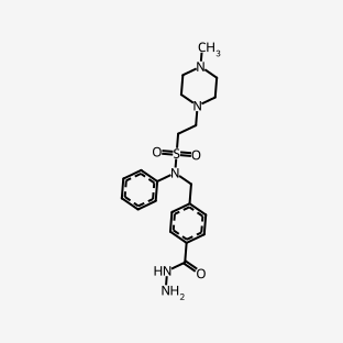 CN1CCN(CCS(=O)(=O)N(Cc2ccc(C(=O)NN)cc2)c2ccccc2)CC1